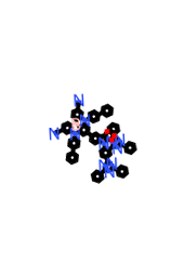 N#Cc1ccc2c(c1)N(c1ccc(-c3ccccc3)cc1)c1cc(-c3ccc4c(c3)c3ccccc3n4-c3ccc(-c4nc(-c5ccccc5)nc(-c5ccccc5)n4)cc3-c3nc(-c4ccccc4)nc(-c4ccccc4)n3)cc3c1B2c1ccc(C#N)cc1N3c1ccc(-c2ccccc2)cc1